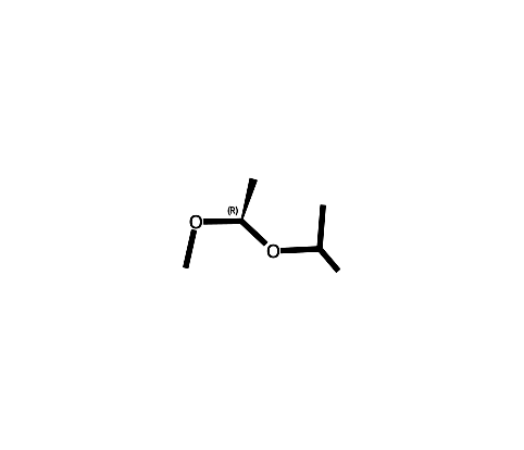 CO[C@@H](C)OC(C)C